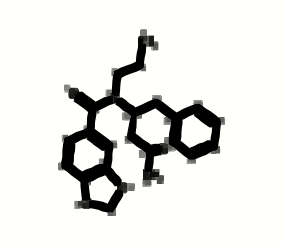 CCCN(C(=O)c1ccc2c(c1)OCO2)[C@H](CC(N)=O)Cc1ccccc1